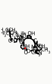 CO[C@@H](C)c1ncccc1-c1c2c3cc(ccc3n1C)-c1cc(O)cc(c1)C[C@H](NC(=O)C(C(C)C)N(C)C(=O)[C@H]1CCN(C(=O)C#CC(C)(C)N(C)C)C1)C(=O)N1CCC[C@H](N1)C(=O)OCC(C)(C)C2